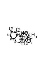 C[C@@]12CCC[C@H]1[C@@H]1CCC3C=CC(=O)C(=O)[C@]3(C=O)[C@H]1CC2